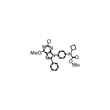 COc1nc(Cl)nc2c1nc(-c1ccccc1)n2-c1ccc(N(C(=O)OC(C)(C)C)C2CCC2)cc1